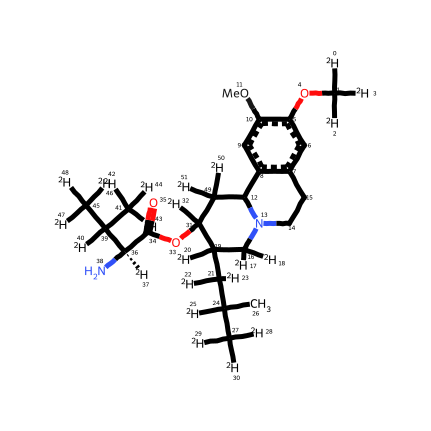 [2H]C([2H])([2H])Oc1cc2c(cc1OC)C1N(CC2)C([2H])([2H])C([2H])(C([2H])([2H])C([2H])(C)C([2H])([2H])[2H])C([2H])(OC(=O)[C@@]([2H])(N)C([2H])(C([2H])([2H])[2H])C([2H])([2H])[2H])C1([2H])[2H]